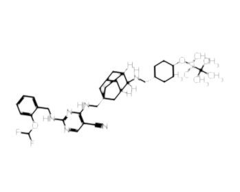 CC(C)(C)[Si](C)(C)O[C@H]1CC[C@H](CN[C@@H]2[C@@H]3CC4C[C@H]2C[C@@](CNc2nc(NCc5ccccc5OC(F)F)ncc2C#N)(C4)C3)CC1